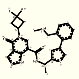 CNCc1ccccc1-c1csc([C@@H](C)NC(=O)c2cn(C3CC(F)(F)C3)c(=O)c3cn[nH]c23)c1